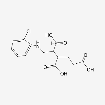 O=C(O)CCC(C(=O)O)C(CNc1ccccc1Cl)[PH](=O)O